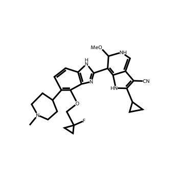 COC1NC=c2c(C#N)c(C3CC3)[nH]c2=C1c1nc2c(OCC3(F)CC3)c(C3CCN(C)CC3)ccc2[nH]1